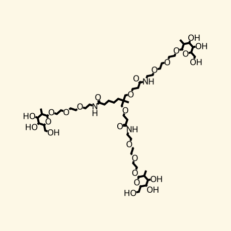 CC1C(OCCOCCOCCNC(=O)CCCCC(C)(COCCC(=O)NCCOCCOCCOC2OC(CO)C(O)C(O)C2C)COCCC(=O)NCCOCCOCCOC2OC(CO)C(O)C(O)C2C)OC(CO)C(O)C1O